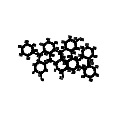 Cc1ccc2c(c1)B1c3cc(C)ccc3N(c3ccc(C)cc3-c3cccc4c5ccccc5c5ccccc5c34)c3cccc(c31)N2c1ccccc1